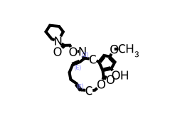 COc1cc(O)c2c(c1)CC(=N/OCC(=O)N1CCCCC1)/C=C/CC/C=C/CCOC2=O